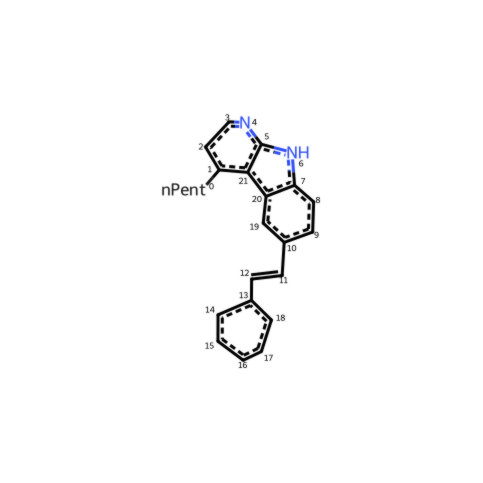 CCCCCc1ccnc2[nH]c3ccc(C=Cc4ccccc4)cc3c12